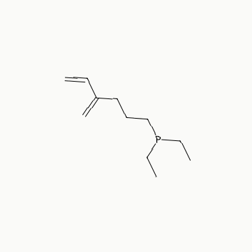 C=CC(=C)CCCP(CC)CC